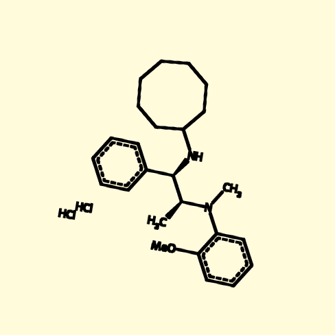 COc1ccccc1N(C)[C@@H](C)[C@H](NC1CCCCCCC1)c1ccccc1.Cl.Cl